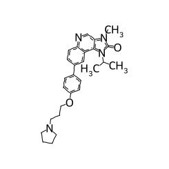 CC(C)n1c(=O)n(C)c2cnc3ccc(-c4ccc(OCCCN5CCCC5)cc4)cc3c21